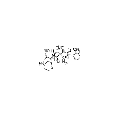 Cc1ccccc1S(=O)(=O)N(C)C(C)(C)C(=O)NC1C(CO)C[C@H]2CCCC1C2